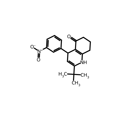 CC(C)(C)C1=CC(c2cccc([N+](=O)[O-])c2)C2=C(CCCC2=O)N1